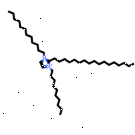 CCCCCCCCCCCCCCCCCc1n(CCCCCCCCCCCC)cc[n+]1CCCCCCCCCC